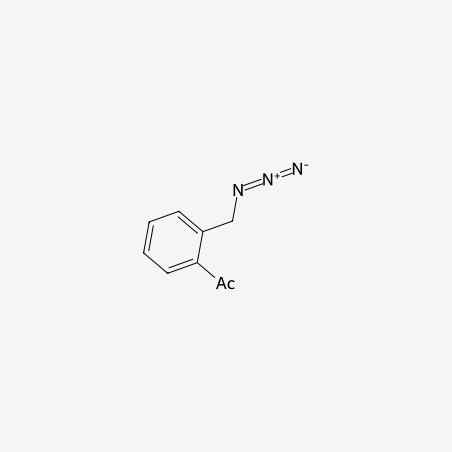 CC(=O)c1ccccc1CN=[N+]=[N-]